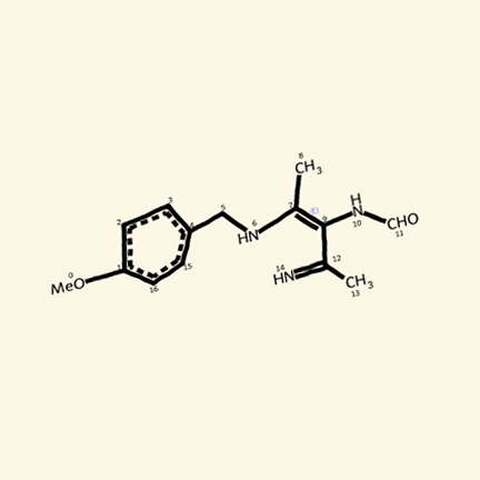 COc1ccc(CN/C(C)=C(/NC=O)C(C)=N)cc1